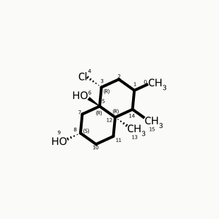 CC1C[C@@H](Cl)[C@@]2(O)C[C@@H](O)CC[C@]2(C)C1C